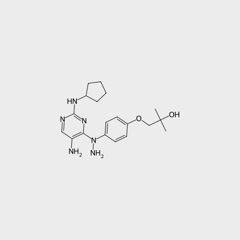 CC(C)(O)COc1ccc(N(N)c2nc(NC3CCCC3)ncc2N)cc1